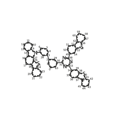 c1cc(-c2cccc(-n3c4ccccc4c4ccc5c6ccccc6sc5c43)c2)cc(-c2nc(-c3ccc4c(c3)sc3ccccc34)nc(-c3ccc4c(c3)sc3ccccc34)n2)c1